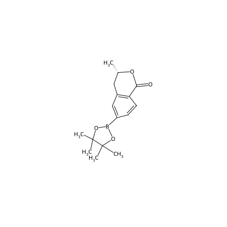 C[C@H]1Cc2cc(B3OC(C)(C)C(C)(C)O3)ccc2C(=O)O1